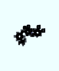 O=S1(=O)N/C(=N\c2ccc(Cl)c(Cl)c2)SC1Cc1cccc(C(F)(F)F)c1